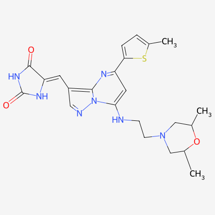 Cc1ccc(-c2cc(NCCN3CC(C)OC(C)C3)n3ncc(/C=C4\NC(=O)NC4=O)c3n2)s1